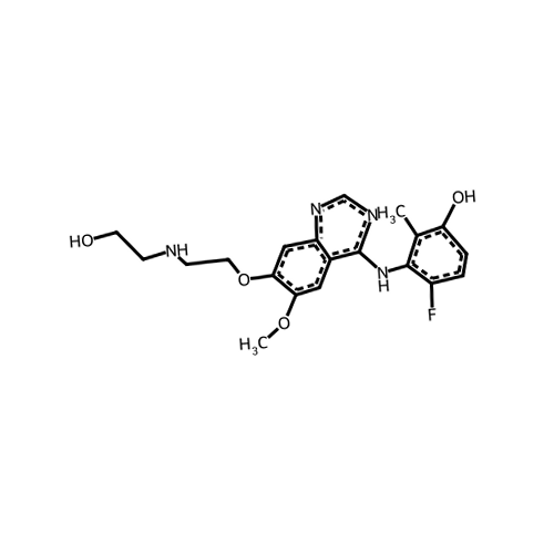 COc1cc2c(Nc3c(F)ccc(O)c3C)ncnc2cc1OCCNCCO